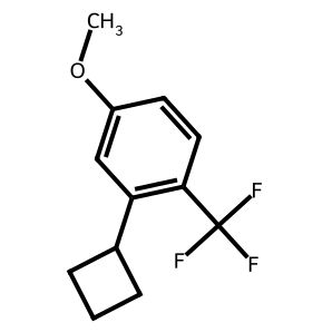 COc1ccc(C(F)(F)F)c(C2CCC2)c1